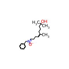 CC(=CCCC=[N+]([O-])Cc1ccccc1)CCCC(C)(C)O